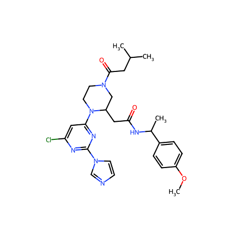 COc1ccc(C(C)NC(=O)CC2CN(C(=O)CC(C)C)CCN2c2cc(Cl)nc(-n3ccnc3)n2)cc1